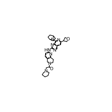 O=C(CN1CCCCC1)N1CCc2nc(Nc3ncc4cc(C5COC5)nc(N5C6CCC5CC6)c4n3)ccc2C1